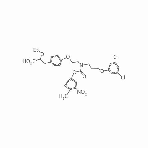 CCOC(Cc1ccc(OCCN(CCCOc2cc(Cl)cc(Cl)c2)C(=O)Oc2ccc(C)c([N+](=O)[O-])c2)cc1)C(=O)O